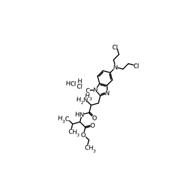 CCOC(=O)C(NC(=O)C(N)Cc1nc2cc(N(CCCl)CCCl)ccc2n1C)C(C)C.Cl.Cl